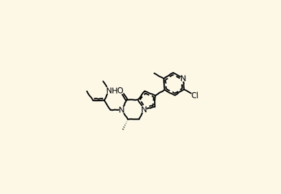 C/C=C(/CN1C(=O)c2cc(-c3cc(Cl)ncc3C)cn2C[C@@H]1C)NC